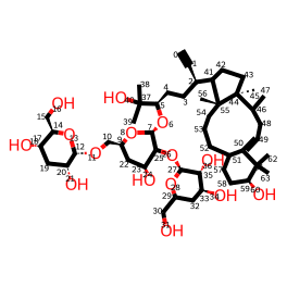 C#C[C@H](CC[C@@H](O[C@@H]1O[C@H](CO[C@H]2O[C@H](CO)[C@@H](O)C[C@H]2O)C[C@H](O)C1O[C@@H]1OC(CO)C[C@H](O)[C@H]1O)C(C)(C)O)C1CC[C@@]2(C)C(C)C/C=C3\C(CCC[C@]12C)CC[C@H](O)C3(C)C